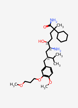 COCCCOc1cc(C[C@@H](C[C@H](N)[C@@H](O)CCC(C)(C(N)=O)C2CCCCC2)C(C)C)ccc1OC